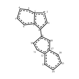 [c]1sc2ccccc2c1-c1ccc2ccccc2c1